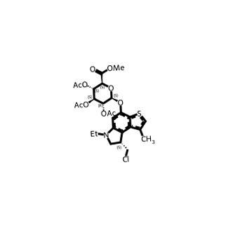 CCN1C[C@@H](CCl)c2c1cc(O[C@@H]1O[C@H](C(=O)OC)[C@@H](OC(C)=O)[C@H](OC(C)=O)[C@H]1OC(C)=O)c1scc(C)c21